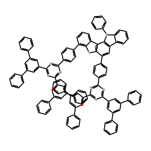 c1ccc(-c2cc(-c3ccccc3)cc(-c3nc(-c4ccc(-c5cccc6c5sc5c(-c7ccc(-c8nc(-c9cc(-c%10ccccc%10)cc(-c%10ccccc%10)c9)nc(-c9cc(-c%10ccccc%10)cc(-c%10ccccc%10)c9)n8)cc7)cc7c8ccccc8n(-c8ccccc8)c7c56)cc4)nc(-c4cc(-c5ccccc5)cc(-c5ccccc5)c4)n3)c2)cc1